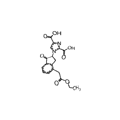 CCOC(=O)Cc1cccc2c1CC(n1cc(C(=O)O)nc1C(=O)O)C2=O